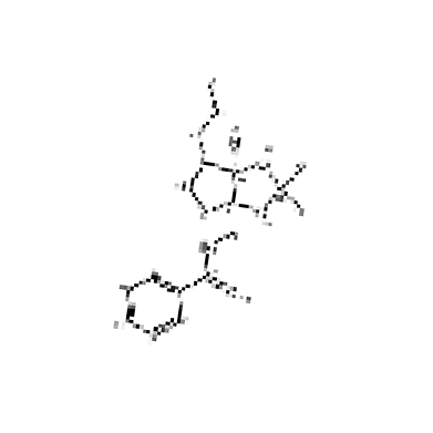 CCC[C@H]1OC[C@]2(CNC(=O)c3ccccc3)OC(C)(C)O[C@H]12